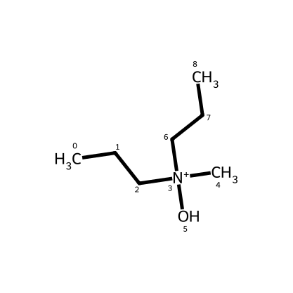 CCC[N+](C)(O)CCC